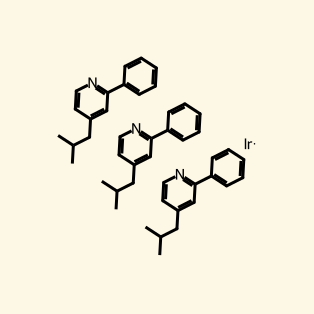 CC(C)Cc1ccnc(-c2ccccc2)c1.CC(C)Cc1ccnc(-c2ccccc2)c1.CC(C)Cc1ccnc(-c2ccccc2)c1.[Ir]